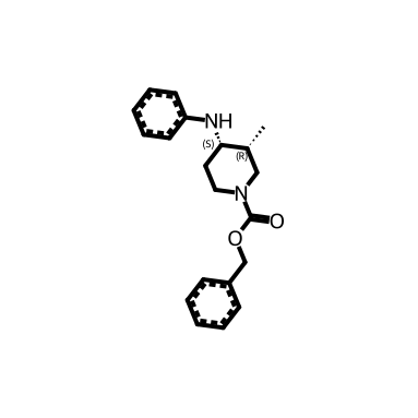 C[C@@H]1CN(C(=O)OCc2ccccc2)CC[C@@H]1Nc1ccccc1